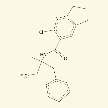 CC(Cc1ccccc1)(CC(F)(F)F)NC(=O)c1cc2c(nc1Cl)CCC2